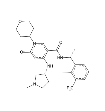 Cc1c([C@@H](C)NC(=O)c2cn(C3CCOCC3)c(=O)cc2N[C@@H]2CCN(C)C2)cccc1C(F)(F)F